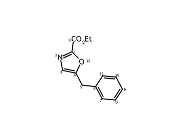 CCOC(=O)c1ncc(Cc2ccccc2)o1